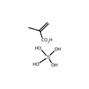 C=C(C)C(=O)O.[OH][Ti]([OH])([OH])[OH]